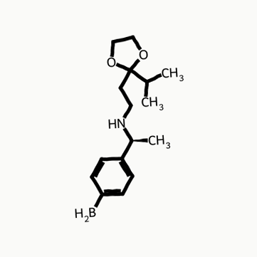 Bc1ccc([C@H](C)NCCC2(C(C)C)OCCO2)cc1